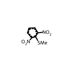 CSc1c([N+](=O)[O-])cccc1[N+](=O)[O-]